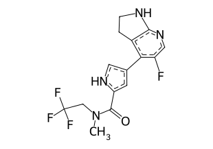 CN(CC(F)(F)F)C(=O)c1cc(-c2c(F)cnc3c2CCN3)c[nH]1